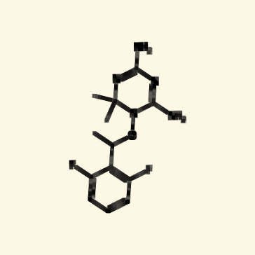 CC(ON1C(N)=NC(N)=NC1(C)C)c1c(F)cccc1F